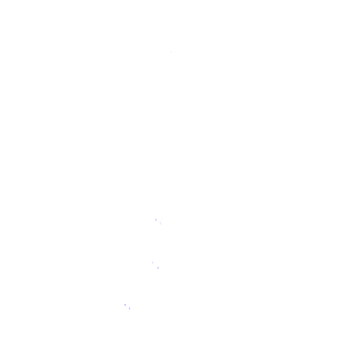 O=C(OCc1ccc(Cl)cc1)c1cnc(N2CCNCC2)c(Cl)c1